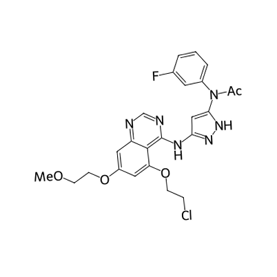 COCCOc1cc(OCCCl)c2c(Nc3cc(N(C(C)=O)c4cccc(F)c4)[nH]n3)ncnc2c1